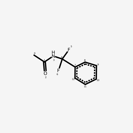 CC(=O)NC(F)(F)c1ccccc1